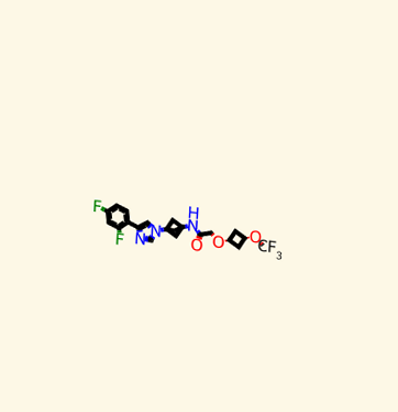 O=C(CO[C@H]1C[C@@H](OC(F)(F)F)C1)NC12CC(n3cnc(-c4ccc(F)cc4F)c3)(C1)C2